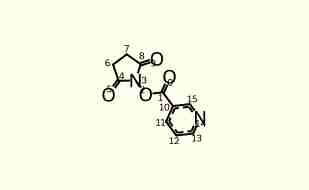 O=C(ON1C(=O)CCC1=O)c1cccnc1